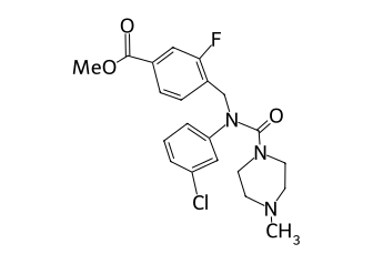 COC(=O)c1ccc(CN(C(=O)N2CCN(C)CC2)c2cccc(Cl)c2)c(F)c1